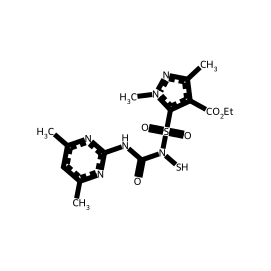 CCOC(=O)c1c(C)nn(C)c1S(=O)(=O)N(S)C(=O)Nc1nc(C)cc(C)n1